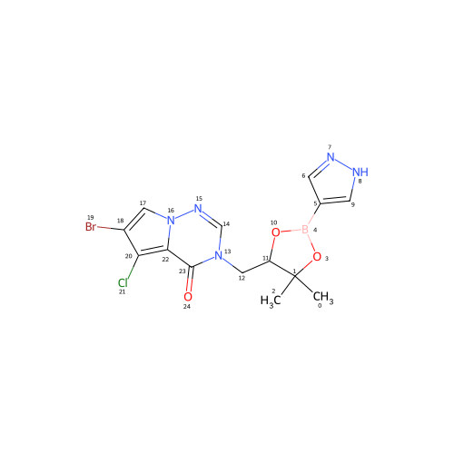 CC1(C)OB(c2cn[nH]c2)OC1Cn1cnn2cc(Br)c(Cl)c2c1=O